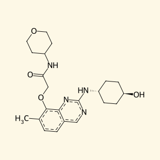 Cc1ccc2cnc(N[C@H]3CC[C@H](O)CC3)nc2c1OCC(=O)NC1CCOCC1